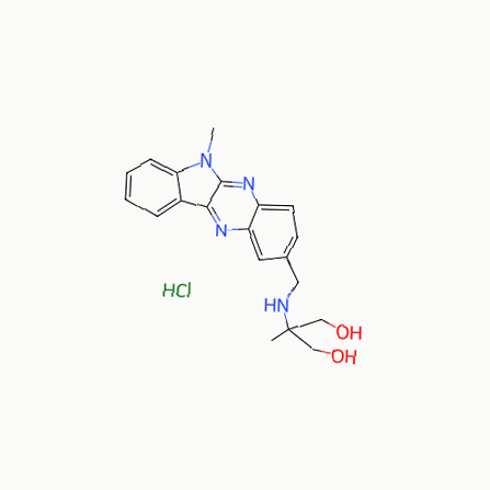 Cl.Cn1c2ccccc2c2nc3cc(CNC(C)(CO)CO)ccc3nc21